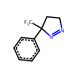 FC(F)(F)C1(c2ccccc2)CCN=N1